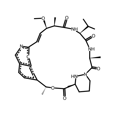 CO[C@@H]1/C=C/c2cc3cc(ccc3cn2)[C@@H](C)OC(=O)[C@@]2(C)CCCN(N2)C(=O)[C@H](C)NC(=O)[C@H](C(C)C)NC(=O)[C@@H]1C